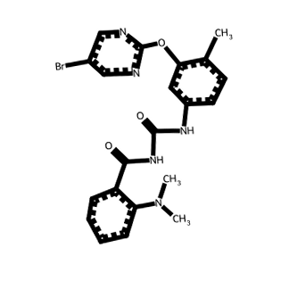 Cc1ccc(NC(=O)NC(=O)c2ccccc2N(C)C)cc1Oc1ncc(Br)cn1